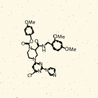 COc1ccc(OC(=O)N2CCN(c3cc(Cl)nc(-n4ccnc4)n3)CC2C(=O)NCc2ccc(OC)cc2OC)cc1